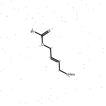 CCCCCCCC=CCOC(=S)C(C)C